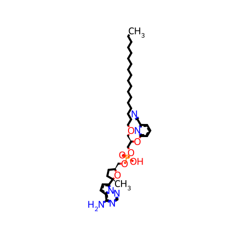 CCCCCCCCCCCCCCCCCCOC[C@H](COP(=O)(O)OC[C@@H]1CC[C@](C)(c2ccc3c(N)ncnn23)O1)Oc1cccc(C#N)n1